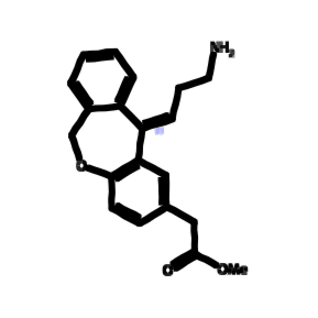 COC(=O)Cc1ccc2c(c1)/C(=C/CCN)c1ccccc1CO2